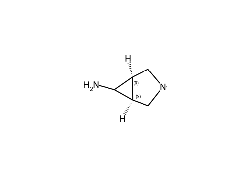 NC1[C@H]2C[N]C[C@@H]12